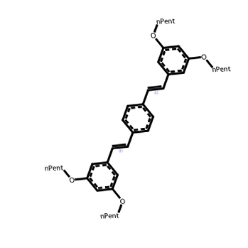 CCCCCOc1cc(/C=C/c2ccc(/C=C/c3cc(OCCCCC)cc(OCCCCC)c3)cc2)cc(OCCCCC)c1